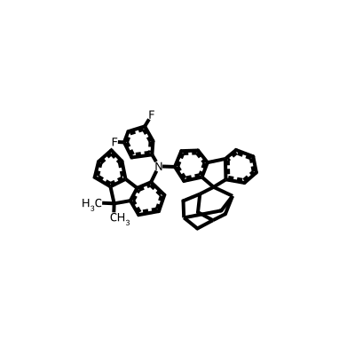 CC1(C)c2ccccc2-c2c(N(c3cc(F)cc(F)c3)c3ccc4c(c3)C3(c5ccccc5-4)C4CC5CC(C4)CC3C5)cccc21